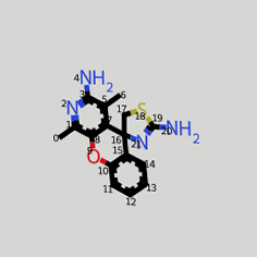 Cc1nc(N)c(C)c2c1Oc1ccccc1C21CSC(N)=N1